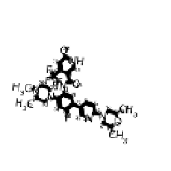 C[C@@H]1CN(c2ccc(-c3cc(NC(=O)c4c[nH]c(=O)cc4C(F)(F)F)c(N4CCN(C)[C@@H](C)C4)cc3F)cn2)C[C@H](C)O1